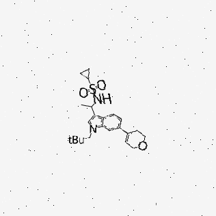 CC(NS(=O)(=O)C1CC1)c1cn(CC(C)(C)C)c2cc(C3=CCOCC3)ccc12